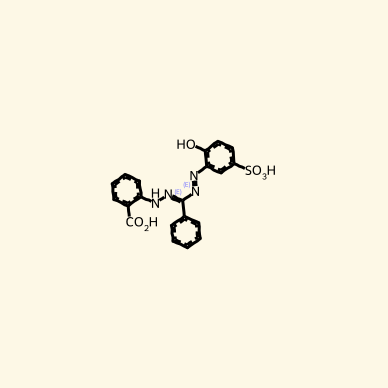 O=C(O)c1ccccc1N/N=C(/N=N/c1cc(S(=O)(=O)O)ccc1O)c1ccccc1